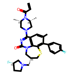 C=CC(=O)N1[C@H](C)CN(c2nc(=O)n3c4c(c(-c5ccc(F)cc5)c(C)cc24)SC[C@H](CN2CC[C@H](F)C2)C3)C[C@@H]1C